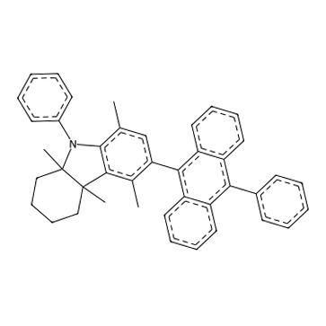 Cc1cc(-c2c3ccccc3c(-c3ccccc3)c3ccccc23)c(C)c2c1N(c1ccccc1)C1(C)CCCCC21C